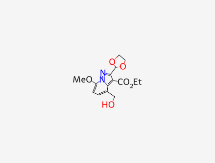 CCOC(=O)c1c(C2OCCO2)nn2c(OC)ccc(CO)c12